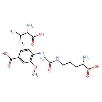 CC(C)[C@H](N)C(=O)O.COc1cc(C(=O)O)ccc1N.NC(=O)NCCC[C@H](N)C(=O)O